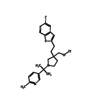 CCOCC1(CCc2cc3cc(F)ccc3s2)CCN(C(C)(C)c2ccc(C)nc2)C1